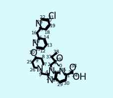 C[C@@]1(Cn2c(CN3CCC(Oc4cccc(Cc5ccc(Cl)cn5)n4)CC3)nc3ccc(C(=O)O)nc32)CCO1